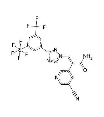 N#Cc1cncc(/C(=C\n2cnc(-c3cc(C(F)(F)F)cc(S(F)(F)(F)(F)F)c3)n2)C(N)=O)c1